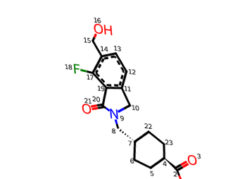 COC(=O)[C@H]1CC[C@H](CN2Cc3ccc(CO)c(F)c3C2=O)CC1